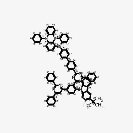 CC(C)(C)c1ccc2c(c1)c1ccccc1n2-c1ccc(-c2cc(-c3ccccc3)nc(-c3ccccc3)n2)cc1-c1nc(-c2ccccc2)nc(-c2ccc(-c3ccc(N4c5ccccc5B5c6ccccc6N(c6ccccc6)c6cccc4c65)cc3)cc2)n1